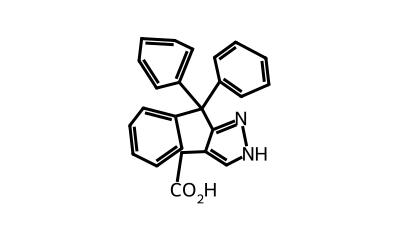 O=C(O)Cc1c[nH]nc1C(c1ccccc1)(c1ccccc1)c1ccccc1